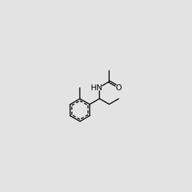 CCC(NC(C)=O)c1ccccc1C